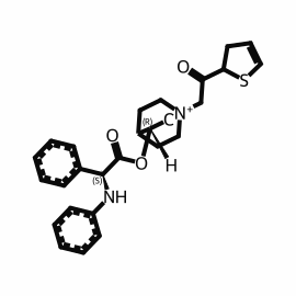 O=C(C[N+]12CCC(CC1)[C@@H](OC(=O)[C@@H](Nc1ccccc1)c1ccccc1)C2)C1CC=CS1